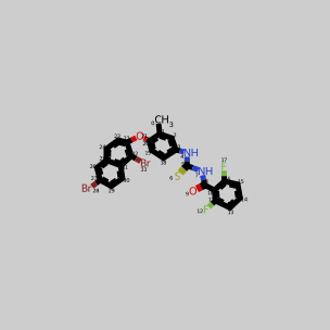 Cc1cc(NC(=S)NC(=O)c2c(F)cccc2F)ccc1Oc1ccc2cc(Br)ccc2c1Br